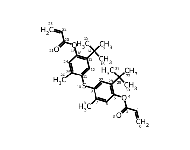 C=CC(=O)Oc1cc(C)c(Sc2cc(C(C)(C)C)c(OC(=O)C=C)cc2C)cc1C(C)(C)C